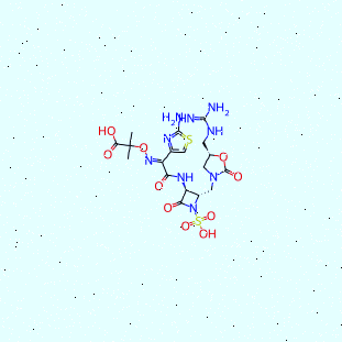 CC(C)(ON=C(C(=O)N[C@@H]1C(=O)N(S(=O)(=O)O)[C@H]1CN1C[C@@H](CNC(=N)N)OC1=O)c1csc(N)n1)C(=O)O